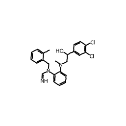 Cc1ccccc1CN(C=N)c1ccccc1N(C)CC(O)c1ccc(Cl)c(Cl)c1